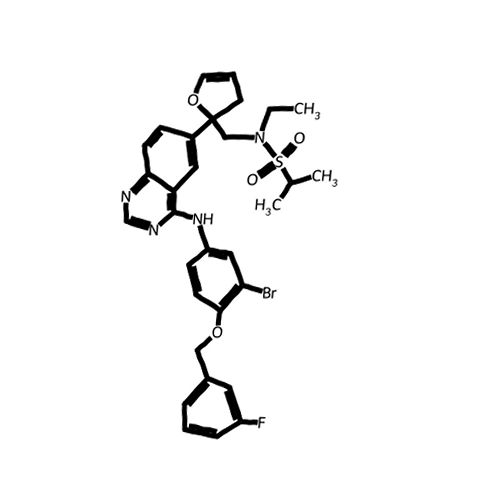 CCN(CC1(c2ccc3ncnc(Nc4ccc(OCc5cccc(F)c5)c(Br)c4)c3c2)CC=CO1)S(=O)(=O)C(C)C